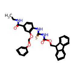 CCNC(=O)c1ccc(NC(=S)NC(=O)OCC2c3ccccc3-c3ccccc32)c(OCOc2ccccc2)c1